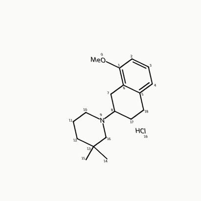 COc1cccc2c1CC(N1CCCC(C)(C)C1)CC2.Cl